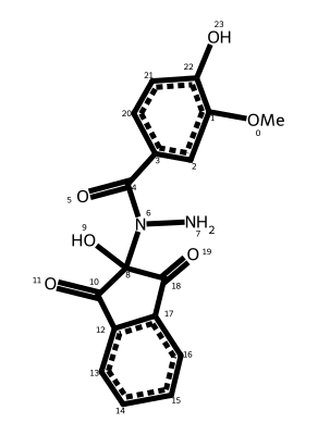 COc1cc(C(=O)N(N)C2(O)C(=O)c3ccccc3C2=O)ccc1O